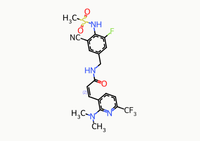 CN(C)c1nc(C(F)(F)F)ccc1/C=C\C(=O)NCc1cc(F)c(NS(C)(=O)=O)c(C#N)c1